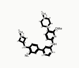 COc1nc(Nc2cc(-c3ccc(OC4CN(C)C4)c(C#N)c3)ncn2)ccc1N1CCN(C)CC1